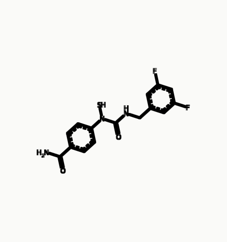 NC(=O)c1ccc(N(S)C(=O)NCc2cc(F)cc(F)c2)cc1